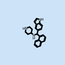 c1ccc2c(C(NC3CCNCC3)c3ccc4[nH]ccc4c3)cccc2c1